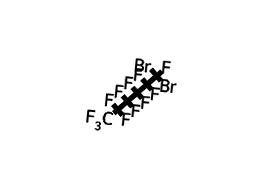 FC(F)(F)C(F)(F)C(F)(F)C(F)(F)C(F)(F)C(F)(Br)Br